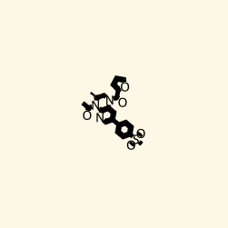 CC(=O)N1c2ncc(-c3ccc(S(C)(=O)=O)cc3)cc2N(C(=O)c2ccco2)C[C@@H]1C